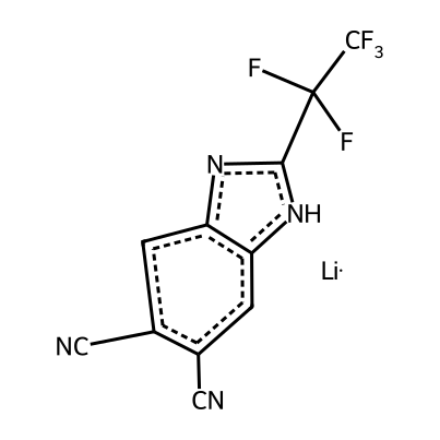 N#Cc1cc2nc(C(F)(F)C(F)(F)F)[nH]c2cc1C#N.[Li]